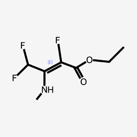 CCOC(=O)/C(F)=C(\NC)C(F)F